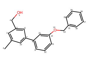 Cc1cc(CO)cc(-c2cccc(OCc3ccccc3)c2)c1